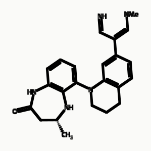 CN/C=C(\C=N)c1ccc2c(c1)N(c1cccc3c1N[C@H](C)CC(=O)N3)CCC2